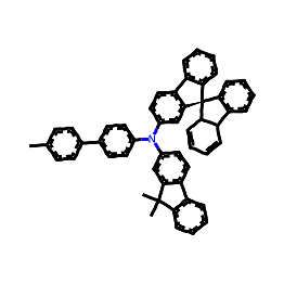 Cc1ccc(-c2ccc(N(c3ccc4c(c3)C(C)(C)c3ccccc3-4)c3ccc4c(c3)[C@@]3(c5ccccc5-4)c4ccccc4C4C=CC=CC43)cc2)cc1